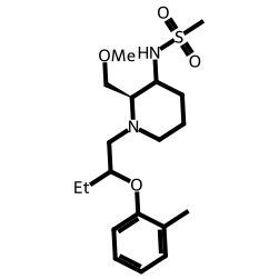 CCC(CN1CCCC(NS(C)(=O)=O)[C@@H]1COC)Oc1ccccc1C